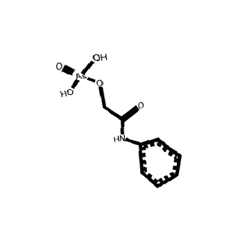 O=C(CO[As](=O)(O)O)Nc1ccccc1